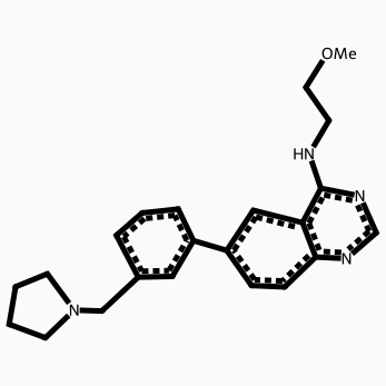 COCCNc1ncnc2ccc(-c3cccc(CN4CCCC4)c3)cc12